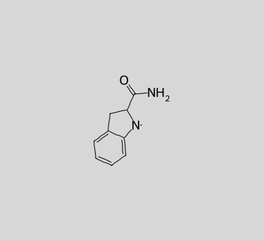 NC(=O)C1Cc2ccccc2[N]1